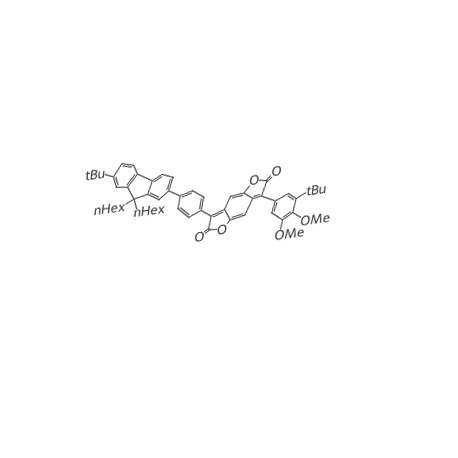 CCCCCCC1(CCCCCC)c2cc(-c3ccc(C4=c5cc6c(cc5OC4=O)=C(c4cc(OC)c(OC)c(C(C)(C)C)c4)C(=O)O6)cc3)ccc2-c2ccc(C(C)(C)C)cc21